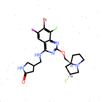 O=C1CC(CNc2nc(OC[C@@]34CCCN3C[C@H](F)C4)nc3c(F)c(Br)c(I)cc23)CN1